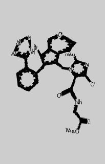 CCCCc1nc(Cl)c(C(=O)NCC(=O)OC)n1Cc1c2ccocc-2c(Br)c1-c1ccccc1-c1nnn[nH]1